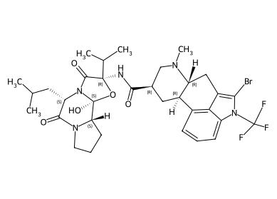 CC(C)C[C@H]1C(=O)N2CCC[C@H]2[C@]2(O)O[C@](NC(=O)[C@@H]3C[C@@H]4c5cccc6c5c(c(Br)n6C(F)(F)F)C[C@H]4N(C)C3)(C(C)C)C(=O)N12